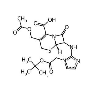 CC(=O)OCC1=C(C(=O)O)N2C(=O)C(Nc3nccn3CC(=O)OC(C)(C)C)[C@@H]2SC1